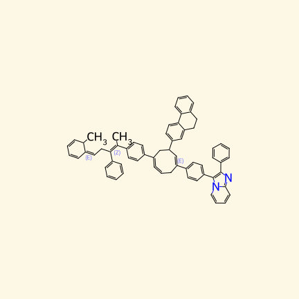 C/C(=C(\C/C=C1/C=CC=CC1C)c1ccccc1)c1ccc(C2=C=CC/C(c3ccc(-c4c(-c5ccccc5)nc5ccccn45)cc3)=C\C(c3ccc4c(c3)CCc3ccccc3-4)C2)cc1